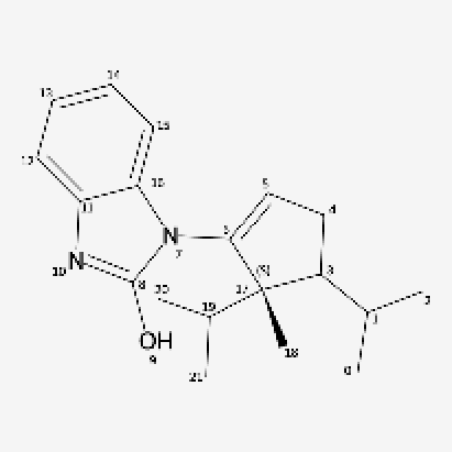 CC(C)C1CC=C(n2c(O)nc3ccccc32)[C@@]1(C)C(C)C